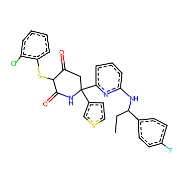 CCC(Nc1cccc(C2(c3ccsc3)CC(=O)C(Sc3ccccc3Cl)C(=O)N2)n1)c1ccc(F)cc1